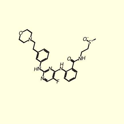 C[S+]([O-])CCNC(=O)c1ccccc1Nc1nc(Nc2cccc(CCN3CCOCC3)c2)ncc1F